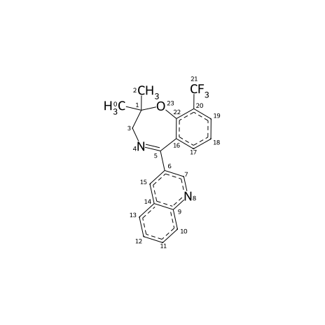 CC1(C)CN=C(c2cnc3ccccc3c2)c2cccc(C(F)(F)F)c2O1